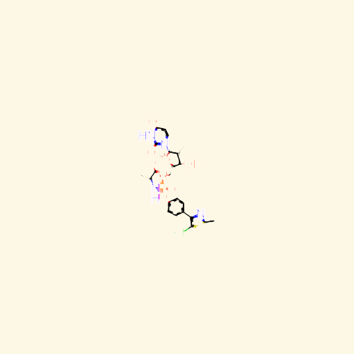 Cc1nc(-c2ccc(OP(=O)(N[C@@H](C)C(=O)OC(C)C)OC[C@H]3O[C@@H](n4ccc(=O)[nH]c4=O)[C@@H](C)[C@@H]3O)cc2)c(Cl)s1